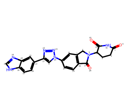 O=C1CCC(N2Cc3cc(-n4cc(-c5ccc6[nH]cnc6c5)nn4)ccc3C2=O)C(=O)N1